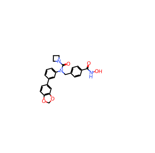 O=C(NO)c1ccc(CN(C(=O)N2CCC2)c2cccc(-c3ccc4c(c3)OCO4)c2)cc1